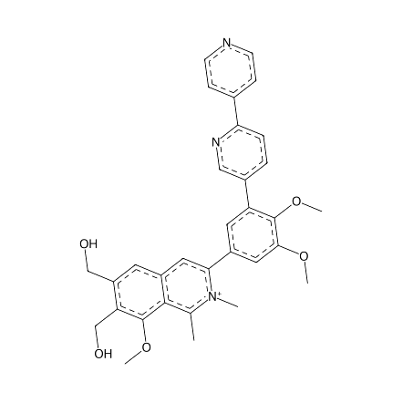 COc1cc(-c2cc3cc(CO)c(CO)c(OC)c3c(C)[n+]2C)cc(-c2ccc(-c3ccncc3)nc2)c1OC